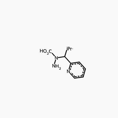 C[C](C)C(c1ccccn1)N(N)C(=O)O